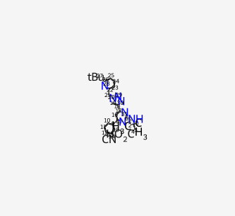 CC(C)(CC(=O)O)Nc1nc(-c2cccc(C#N)c2)cc(-c2cn(Cc3cccc(C(C)(C)C)n3)nn2)n1